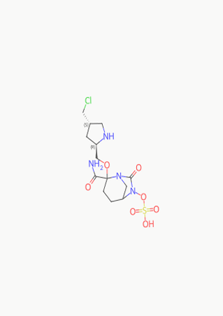 NC(=O)C1(OC[C@H]2C[C@H](CCl)CN2)CCC2CN1C(=O)N2OS(=O)(=O)O